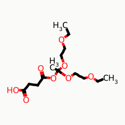 CCOCCOC(C)(OCCOCC)OC(=O)CCC(=O)O